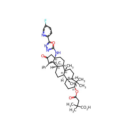 CC(C)C1=C2[C@H]3CC[C@@H]4[C@@]5(C)CC[C@H](OC(=O)CC(C)(C)C(=O)O)C(C)(C)[C@@H]5CC[C@@]4(C)[C@]3(C)CC[C@@]2(Nc2nnc(-c3ccc(F)cn3)o2)CC1=O